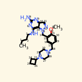 CCCCNc1nc(N)nc2cnn(Cc3cc(CN4CCN(C5CCC5)CC4)ccc3OC)c12